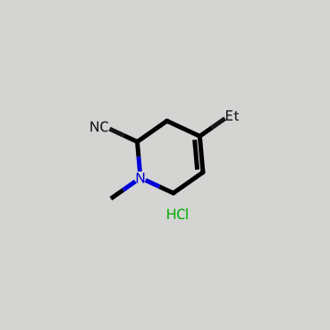 CCC1=CCN(C)C(C#N)C1.Cl